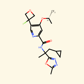 Cc1nnc(C(C)(CC2CC2)NC(=O)c2cc(O[C@@H](C)C(F)(F)F)c(C3(F)COC3)cn2)o1